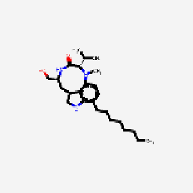 CCCCCCCCc1ccc2c3c1NCC3C[C@@H](CO)NC(=O)[C@H](C(C)C)N2C